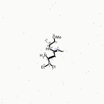 CCN(CC)/C(N)=C/C(=N\C)N[C@H](C)COC